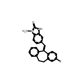 Cn1c(=O)[nH]c2cc(/C=C3\c4ccccc4CCc4cc(F)ccc43)ccc21